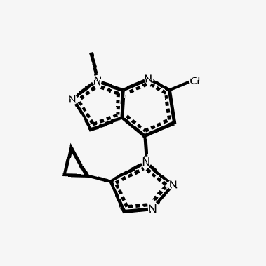 Cn1ncc2c(-n3nncc3C3CC3)cc(Cl)nc21